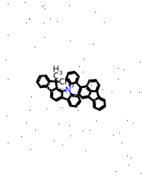 CC1(C)c2ccccc2-c2ccc3c4ccccc4n(-c4ccccc4-c4ccc5c6c(cccc46)-c4ccccc4-5)c3c21